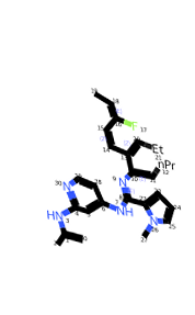 C=C(C)Nc1cc(N/C(=N/C(=C/CCC)C(/C=C\C(F)=C/C)=C\CC)c2cccn2C)ccn1